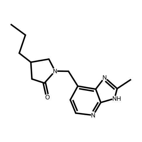 CCCC1CC(=O)N(Cc2ccnc3[nH]c(C)nc23)C1